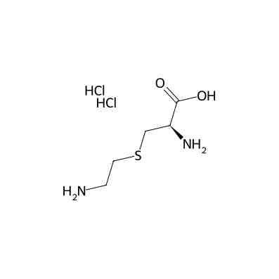 Cl.Cl.NCCSC[C@H](N)C(=O)O